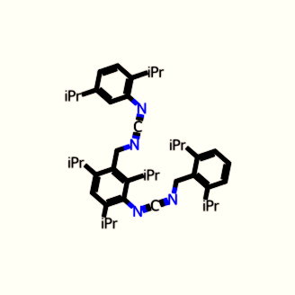 CC(C)c1ccc(C(C)C)c(N=C=NCc2c(C(C)C)cc(C(C)C)c(N=C=NCc3c(C(C)C)cccc3C(C)C)c2C(C)C)c1